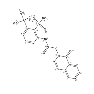 CC(C)(C)c1cccc(NC(=O)Cn2cnc3ccccc3c2=O)c1S(N)(=O)=O